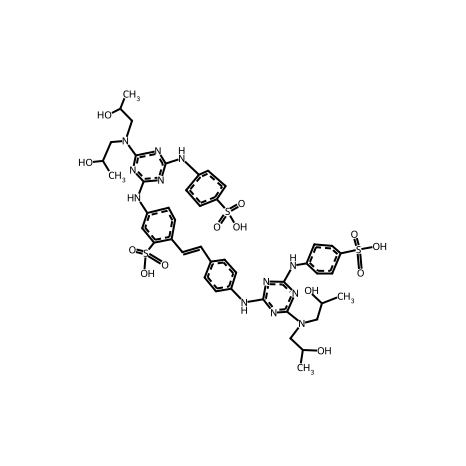 CC(O)CN(CC(C)O)c1nc(Nc2ccc(/C=C/c3ccc(Nc4nc(Nc5ccc(S(=O)(=O)O)cc5)nc(N(CC(C)O)CC(C)O)n4)cc3S(=O)(=O)O)cc2)nc(Nc2ccc(S(=O)(=O)O)cc2)n1